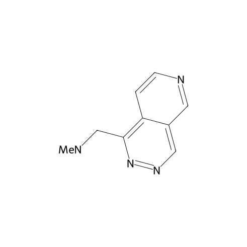 CNCc1nncc2cnccc12